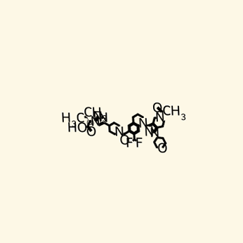 CC(=O)N1CCc2c(c(N3CCCc4cc(C(=O)N5CCC(c6cn([C@H](C(=O)O)C(C)C)nn6)CC5)c(C(F)F)cc43)nn2C2CCOCC2)C1